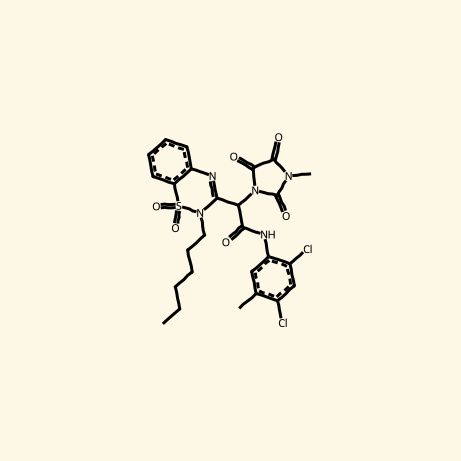 CCCCCCN1C(C(C(=O)Nc2cc(C)c(Cl)cc2Cl)N2C(=O)C(=O)N(C)C2=O)=Nc2ccccc2S1(=O)=O